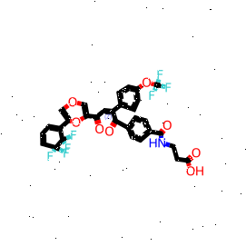 O=C(O)CCNC(=O)c1ccc(C(=O)/C(=C\C(=O)C2=COC=C(C3=CC=CC(F)(F)C3(F)F)O2)c2ccc(OC(F)(F)F)cc2)cc1